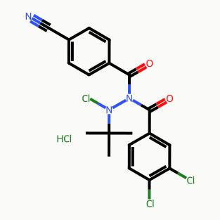 CC(C)(C)N(Cl)N(C(=O)c1ccc(C#N)cc1)C(=O)c1ccc(Cl)c(Cl)c1.Cl